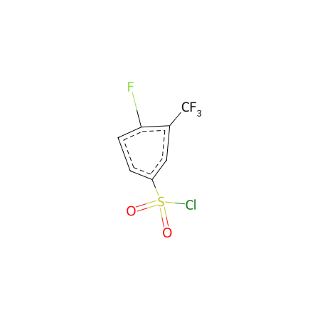 O=S(=O)(Cl)c1ccc(F)c(C(F)(F)F)c1